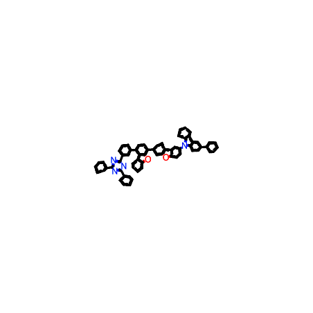 c1ccc(-c2ccc3c(c2)c2ccccc2n3-c2ccc3oc4cc(-c5ccc(-c6cccc(-c7nc(-c8ccccc8)nc(-c8ccccc8)n7)c6)c6c5oc5ccccc56)ccc4c3c2)cc1